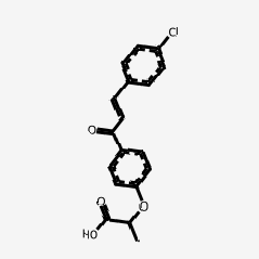 CC(Oc1ccc(C(=O)/C=C/c2ccc(Cl)cc2)cc1)C(=O)O